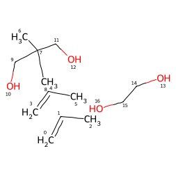 C=CC.C=CC.CC(C)(CO)CO.OCCO